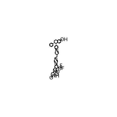 O=C1CCC(N2Cc3cc(N4CCN(CCC5CCN(c6ccc([C@@H]7c8ccc(O)cc8CC[C@@H]7c7ccccc7)cc6)CC5)CC4)cc(OC(F)F)c3C2=O)C(=O)N1